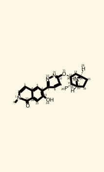 Cn1ccc2cc(-c3ccc(O[C@@H]4C[C@H]5CC[C@H](N5)[C@@H]4F)nn3)c(O)cc2c1=O